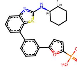 C[C@@H]1CCCC[C@H]1Nc1nc2cccc(-c3cccc(-c4ccc(P(=O)(O)O)o4)c3)c2s1